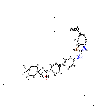 COc1ccc2nc(Nc3ccc(-c4ccc(C(=O)CC5(C(=O)O)CCC(C)(C)CC5)cc4)cc3)sc2c1